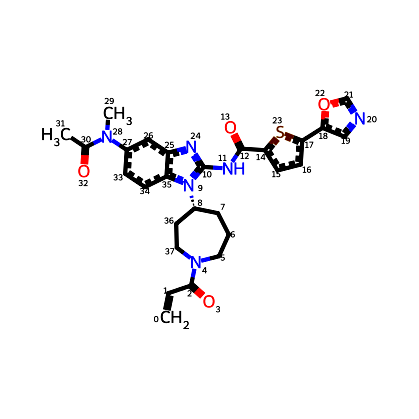 C=CC(=O)N1CCC[C@@H](n2c(NC(=O)c3ccc(-c4cnco4)s3)nc3cc(N(C)C(C)=O)ccc32)CC1